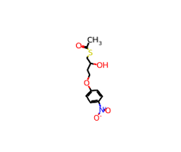 CC(=O)SCC(O)CCOc1ccc([N+](=O)[O-])cc1